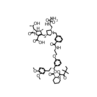 CCC(C)(C)C(=O)C(=O)N1CCCC[C@H]1C(=O)O[C@H](CCc1ccc(OC)c(OC)c1)c1cccc(OCCNC(=O)c2cccc(CN3C[C@@H](SC4=C(C(=O)O)N5C(=O)[C@H]([C@@H](C)O)[C@H]5[C@H]4C)C[C@H]3CNS(N)(=O)=O)c2)c1